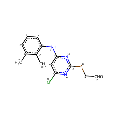 Cc1cccc(Nc2cc(Cl)nc(SCC=O)n2)c1C